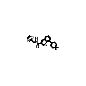 CC1(C)CC=C(c2cccc3cc(C(=O)NCc4ncco4)cnc23)CC1